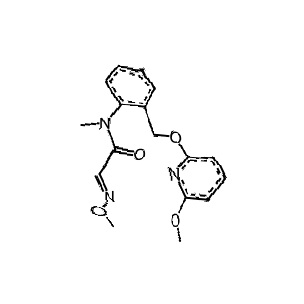 CON=CC(=O)N(C)c1ccccc1COc1cccc(OC)n1